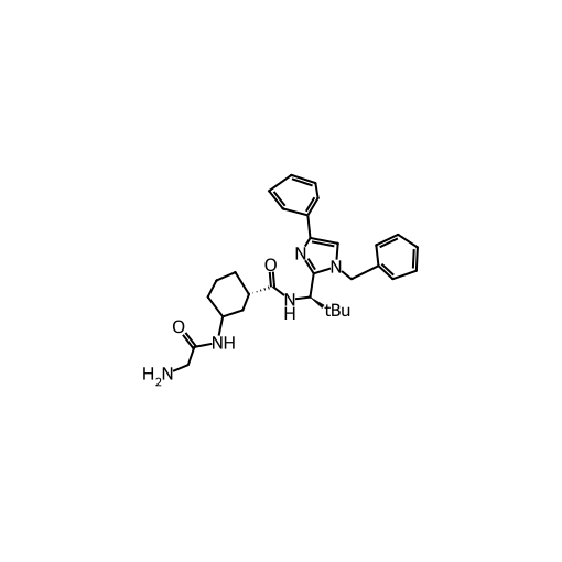 CC(C)(C)[C@@H](NC(=O)[C@H]1CCCC(NC(=O)CN)C1)c1nc(-c2ccccc2)cn1Cc1ccccc1